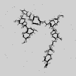 COc1cnc2c(-c3nc4cc(F)c(O[C@H]5CCC[C@H]5OC(=O)Nc5cnc(CCc6cc(-c7nc8cc(F)c(OCCOC(=O)Nc9ccc(C#N)nc9)cc8s7)c7ncc(OC)nc7c6)nc5)cc4s3)cc(C)cc2n1